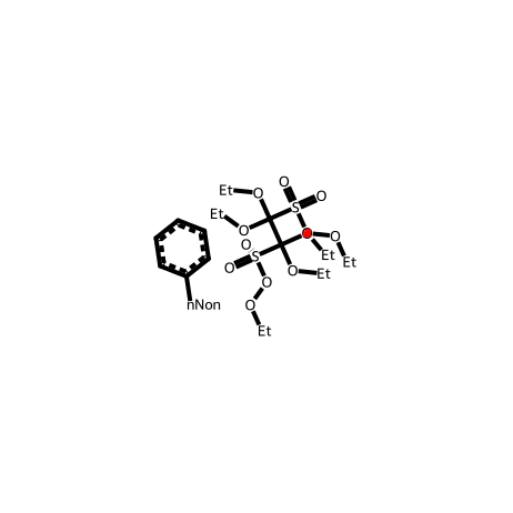 CCCCCCCCCc1ccccc1.CCOOS(=O)(=O)C(OCC)(OCC)C(OCC)(OCC)S(=O)(=O)OOCC